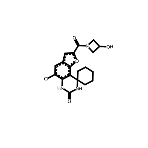 O=C1Nc2c(Cl)cc3cc(C(=O)N4CC(O)C4)oc3c2C2(CCCCC2)N1